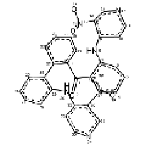 O=C(c1ccccc1Nc1ccncc1[N+](=O)[O-])c1ccccc1-c1ccccc1Nc1ccncc1[N+](=O)[O-]